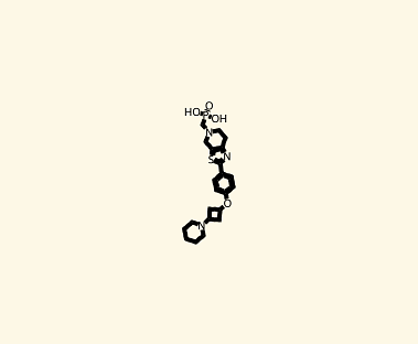 O=P(O)(O)CN1CCc2nc(-c3ccc(OC4CC(N5CCCCC5)C4)cc3)sc2C1